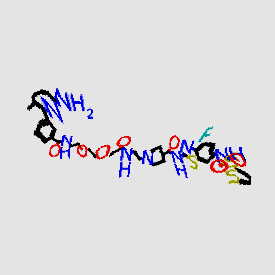 Cc1ccc(N)nc1-c1cccc(C(=O)NCCOCCOCC(=O)NCCN2CCC(C(=O)Nc3nc4c(F)cc(NS(=O)(=O)c5cccs5)cc4s3)CC2)c1